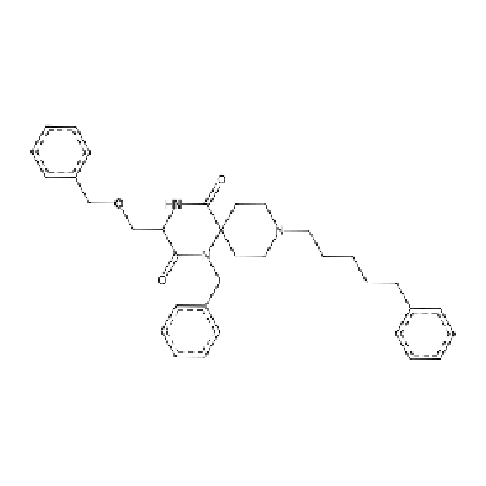 O=C1C(COCc2ccccc2)NC(=O)C2(CCN(CCCCCc3ccccc3)CC2)N1Cc1ccccc1